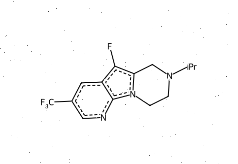 CC(C)N1CCn2c(c(F)c3cc(C(F)(F)F)cnc32)C1